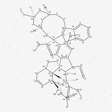 CC[C@]1(C)C[C@H]2C[C@H](CCC3=C(Cc4ccccc43)[C@@](C(=O)OC)(c3cc4c(cc3OC)C(C=O)[C@]3(C)[C@]45CCC4CC=C[C@@](CC)([C@@H](OC(C)=O)[C@]3(C)C(=O)OC)[C@]45C)C2)C1